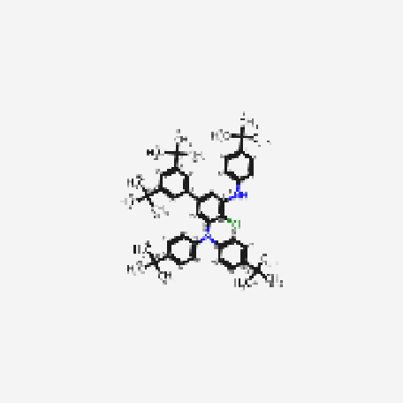 CC(C)(C)c1ccc(Nc2cc(-c3cc(C(C)(C)C)cc(C(C)(C)C)c3)cc(N(c3ccc(C(C)(C)C)cc3)c3ccc(C(C)(C)C)cc3)c2Cl)cc1